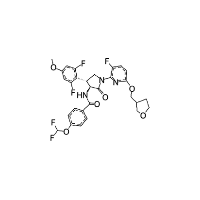 COc1cc(F)c([C@@H]2CN(c3nc(OCC4CCOC4)ccc3F)C(=O)[C@H]2NC(=O)c2ccc(OC(F)F)cc2)c(F)c1